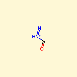 [N-]=[NH+]C=O